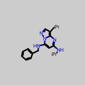 CC(C)Nc1cc(NCc2ccccc2)n2ncc(C(C)C)c2n1